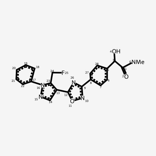 CNC(=O)C(O)c1ccc(-c2noc(-c3cnn(-c4ccccc4)c3CF)n2)cc1